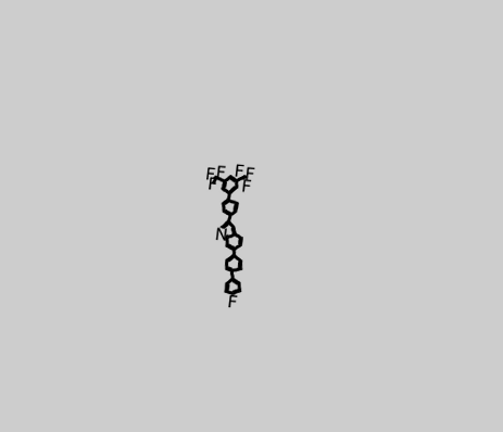 Fc1ccc(-c2ccc(-c3ccc4cc(-c5ccc(-c6cc(C(F)(F)F)cc(C(F)(F)F)c6)cc5)cnc4c3)cc2)cc1